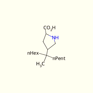 CCCCCCC(C)(CCCCC)C1CNC(C(=O)O)C1